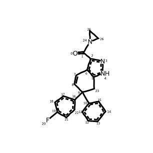 O=C(c1n[nH]c2c1C=CC(c1ccccc1)(c1ccc(F)cc1)C2)N1CC1